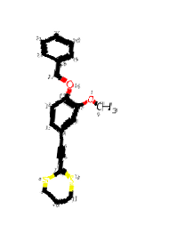 COc1cc(C#CC2SCCCS2)ccc1OCc1ccccc1